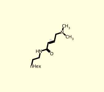 CCCCCCCCNC(=O)/C=C/CN(C)C